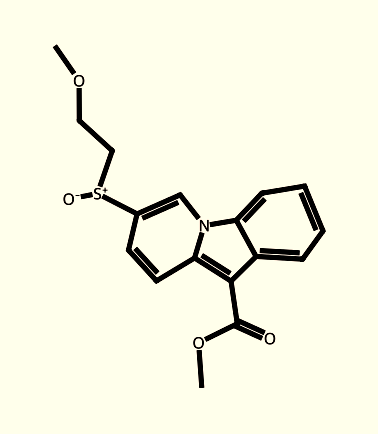 COCC[S+]([O-])c1ccc2c(C(=O)OC)c3ccccc3n2c1